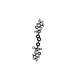 COC(=O)N[C@H](C(=O)N1[C@@H](C)CC[C@H]1C1=NCC(c2ccc3cc(-c4ccc(-c5[nH]c([C@@H]6CC[C@H](C)N6C(=O)[C@@H](NC(=O)OC)C(C)C)nc5Cl)cc4)ccc3c2)N1)C(C)C